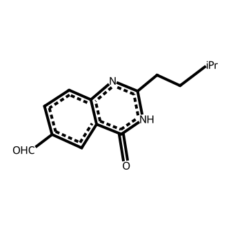 CC(C)CCc1nc2ccc(C=O)cc2c(=O)[nH]1